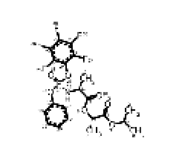 CC(C)OC(=O)[C@H](C)OC(=O)[C@H](C)N[P@@](=O)(Oc1ccccc1)Oc1c(F)c(F)c(F)c(F)c1F